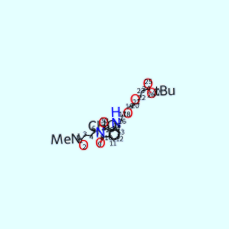 CNC(=O)CCC(C=O)N1C(=O)c2cccc(NCCOCCOCCC(=O)OC(C)(C)C)c2C1=O